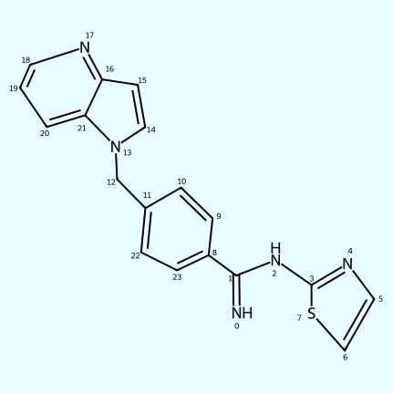 N=C(Nc1nccs1)c1ccc(Cn2ccc3ncccc32)cc1